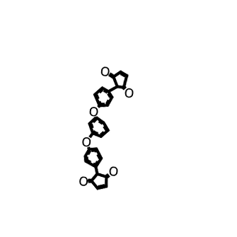 O=C1C=CC(=O)C1c1ccc(Oc2cccc(Oc3ccc(C4C(=O)C=CC4=O)cc3)c2)cc1